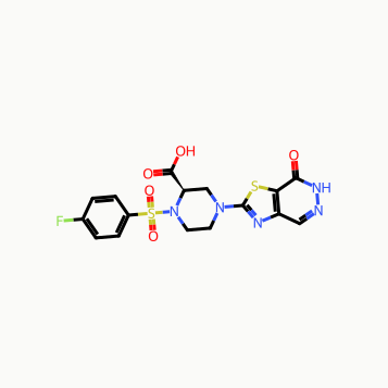 O=C(O)[C@H]1CN(c2nc3cn[nH]c(=O)c3s2)CCN1S(=O)(=O)c1ccc(F)cc1